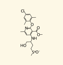 COC(=O)c1c(NC(CO)CC[S+](C)[O-])cc(C)nc1Oc1c(C)cc(Cl)cc1C